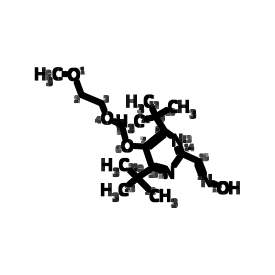 COCCOCOc1c(C(C)(C)C)nc(/C=N/O)nc1C(C)(C)C